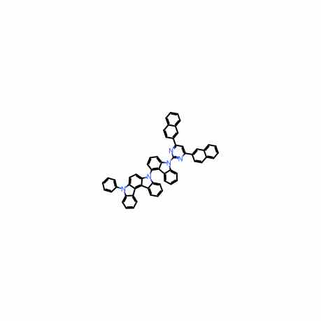 c1ccc(-n2c3ccccc3c3c4c5ccccc5n(-c5cccc6c5c5ccccc5n6-c5nc(-c6ccc7ccccc7c6)cc(-c6ccc7ccccc7c6)n5)c4ccc32)cc1